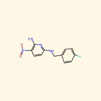 Nc1nc(NCc2ccc(F)cc2)ccc1[N+](=O)[O-]